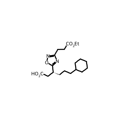 CCOC(=O)CCc1noc([C@H](CCCC2CCCCC2)CC(=O)O)n1